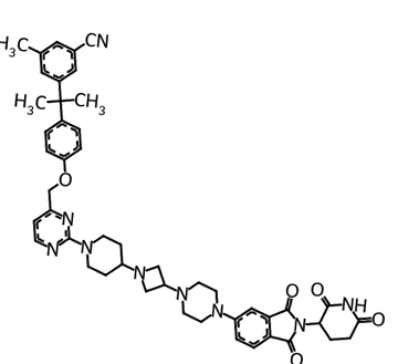 Cc1cc(C#N)cc(C(C)(C)c2ccc(OCc3ccnc(N4CCC(N5CC(N6CCN(c7ccc8c(c7)C(=O)N(C7CCC(=O)NC7=O)C8=O)CC6)C5)CC4)n3)cc2)c1